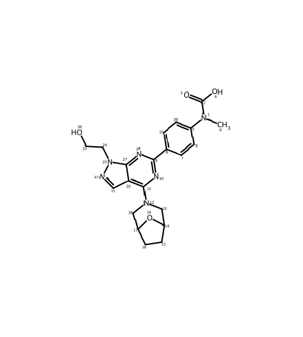 CN(C(=O)O)c1ccc(-c2nc(N3CC4CCC(C3)O4)c3cnn(CCO)c3n2)cc1